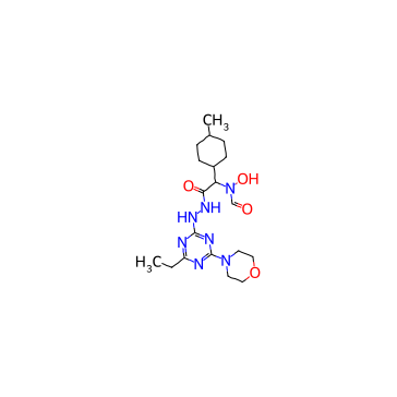 CCc1nc(NNC(=O)C(C2CCC(C)CC2)N(O)C=O)nc(N2CCOCC2)n1